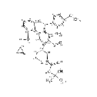 COc1ccc(COc2cccc(OCC3CC3)c2-c2cc(C3CCCN(C(=O)OC(C)(C)C)C3)c(C=O)c(N)n2)cc1